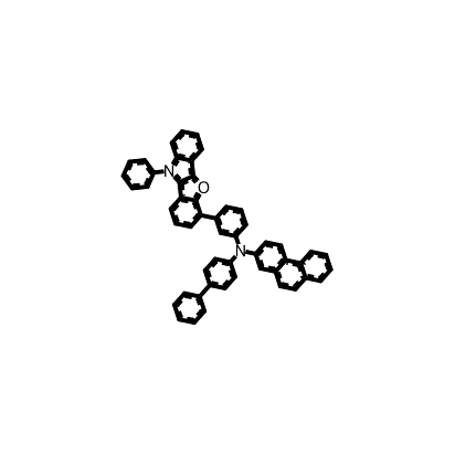 c1ccc(-c2ccc(N(c3cccc(-c4cccc5c4oc4c6ccccc6n(-c6ccccc6)c54)c3)c3ccc4c(ccc5ccccc54)c3)cc2)cc1